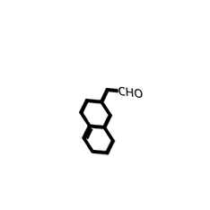 O=CCC1CCC2=CCCCC2C1